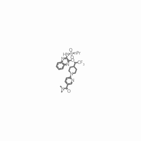 CCCS(=O)(=O)Nc1nc2ccccc2nc1OC(C1CCN(c2ccc(C(=O)N(C)C)cn2)CC1)C(F)(F)F